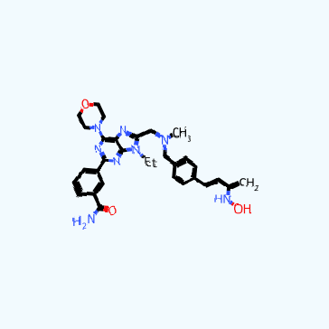 C=C(/C=C/c1ccc(CN(C)Cc2nc3c(N4CCOCC4)nc(-c4cccc(C(N)=O)c4)nc3n2CC)cc1)NO